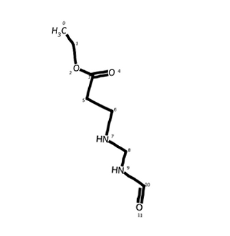 CCOC(=O)CCNCNC=O